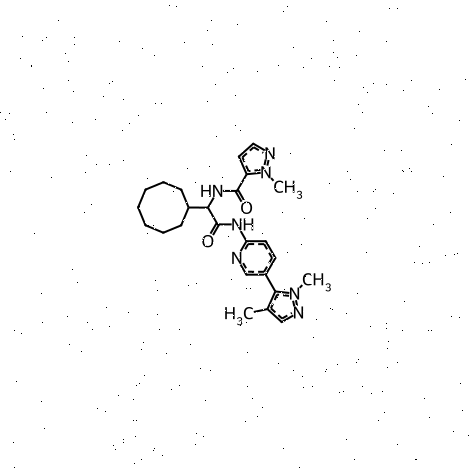 Cc1cnn(C)c1-c1ccc(NC(=O)C(NC(=O)c2ccnn2C)C2CCCCCCC2)nc1